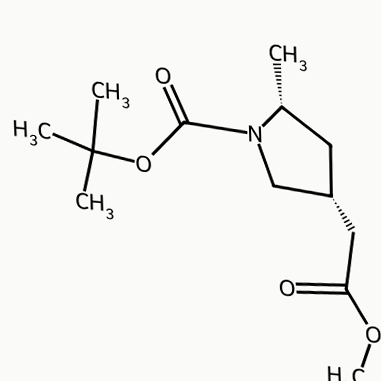 COC(=O)C[C@H]1C[C@@H](C)N(C(=O)OC(C)(C)C)C1